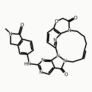 CN1Cc2cc(Nc3ncc4c(=O)n5n(c4n3)-c3ccc4c(n3)N(CCC/C=C\C5)C(=O)CO4)ccc2C1=O